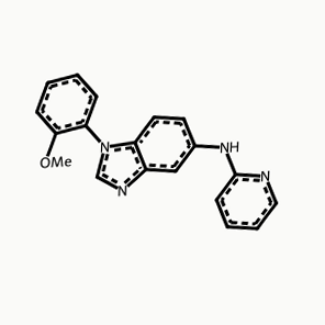 COc1ccccc1-n1cnc2cc(Nc3ccccn3)ccc21